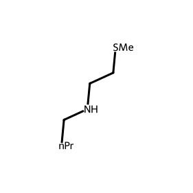 [CH2]CCCNCCSC